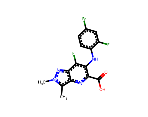 Cc1c2nc(C(=O)O)c(Nc3ccc(Br)cc3F)c(F)c2nn1C